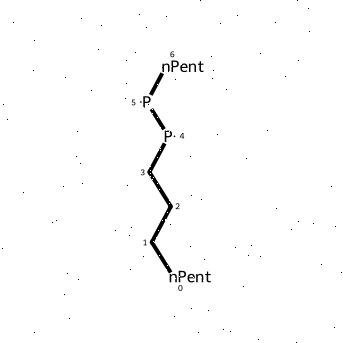 CCCCCCCC[P][P]CCCCC